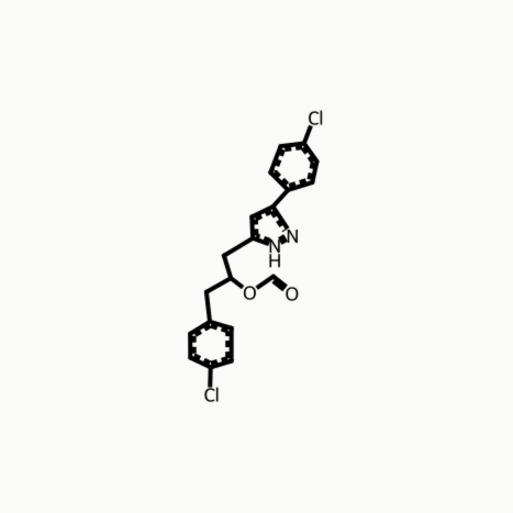 O=COC(Cc1ccc(Cl)cc1)Cc1cc(-c2ccc(Cl)cc2)n[nH]1